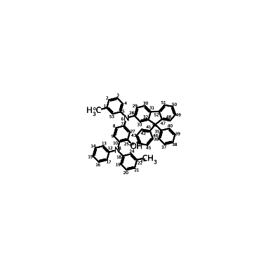 Cc1cccc(N(c2ccc(N(c3ccccc3)c3cccc(C)c3)c(O)c2)c2ccc3c(c2)C(c2ccccc2)(c2ccccc2)c2ccccc2-3)c1